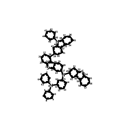 c1ccc(N(c2ccccc2)c2cccc(N(c3ccc4c(c3)sc3cccc(-c5ccc6c7ccccc7n(-c7ccccc7)c6c5)c34)c3ccc4sc5ccccc5c4c3)c2)cc1